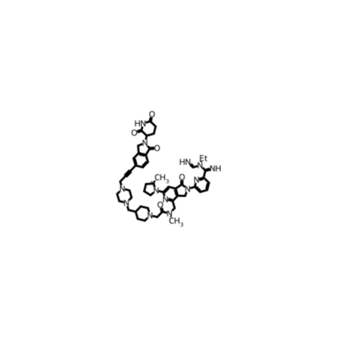 CCN(C=N)C(=N)c1cccc(N2Cc3c(cc(N4CCC[C@H]4C)nc3CN(C)C(=O)CN3CCC(CN4CCN(CC#Cc5ccc6c(c5)CN(C5CCC(=O)NC5=O)C6=O)CC4)CC3)C2=O)n1